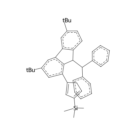 CC(C)(C)c1ccc2c(c1)-c1cc(C(C)(C)C)cc(C3=CC([Si](C)(C)C)=CC3)c1C2C(c1ccccc1)c1ccccc1